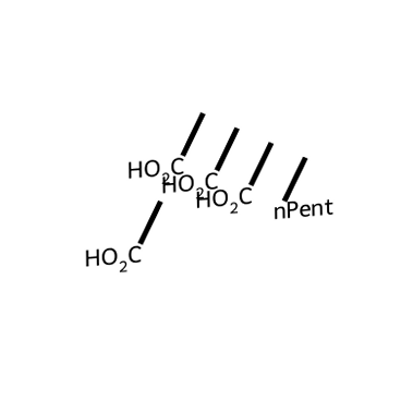 CC(=O)O.CC(=O)O.CC(=O)O.CC(=O)O.CCCCCC